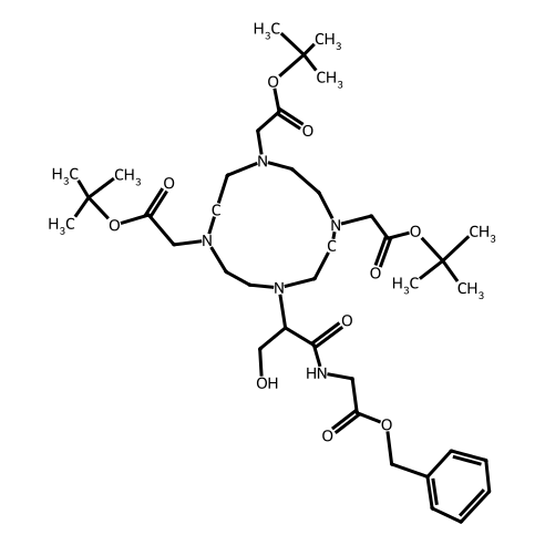 CC(C)(C)OC(=O)CN1CCN(CC(=O)OC(C)(C)C)CCN(C(CO)C(=O)NCC(=O)OCc2ccccc2)CCN(CC(=O)OC(C)(C)C)CC1